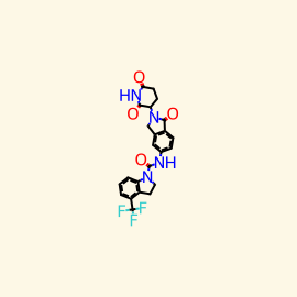 O=C1CCC(N2Cc3cc(NC(=O)N4CCc5c4cccc5C(F)(F)F)ccc3C2=O)C(=O)N1